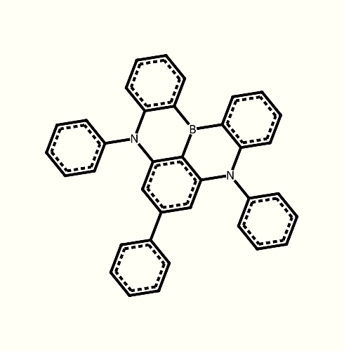 c1ccc(-c2cc3c4c(c2)N(c2ccccc2)c2ccccc2B4c2ccccc2N3c2ccccc2)cc1